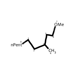 CCCCCCCC(C)CCOC